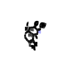 CC[C@@H]1C(=O)/C(=C\O)C[C@]2(C)c3nn(C)cc3CC[C@@H]12